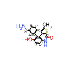 Cc1cc2c(s1)c(=O)[nH]c1ccc(O)c(-c3cccc(CN)c3)c12